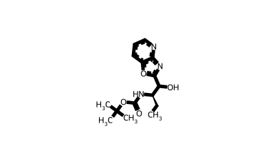 CC[C@@H](NC(=O)OC(C)(C)C)C(O)c1nc2ncccc2o1